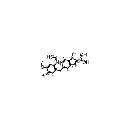 COc1cc(/N=C\S)c(Cc2cc3cc(B(O)O)n(C)c3cn2)cc1Br